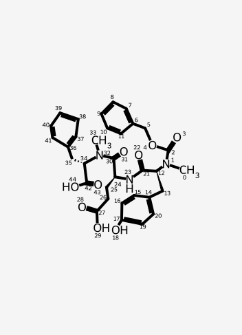 CN(C(=O)OCc1ccccc1)[C@@H](Cc1ccc(O)cc1)C(=O)N[C@@H](CCC(=O)O)C(=O)N(C)[C@@H](Cc1ccccc1)C(=O)O